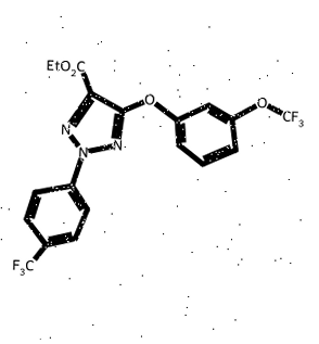 CCOC(=O)c1nn(-c2ccc(C(F)(F)F)cc2)nc1Oc1cccc(OC(F)(F)F)c1